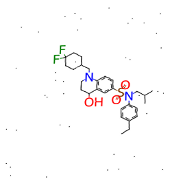 CCc1ccc(N(CC(C)C)S(=O)(=O)c2ccc3c(c2)C(O)CCN3CC2CCC(F)(F)CC2)cc1